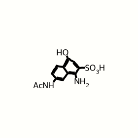 CC(=O)Nc1ccc2c(O)cc(S(=O)(=O)O)c(N)c2c1